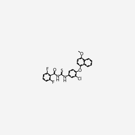 COc1ccc(Oc2ccc(NC(=S)NC(=O)c3c(F)cccc3F)cc2Cl)c2ccccc12